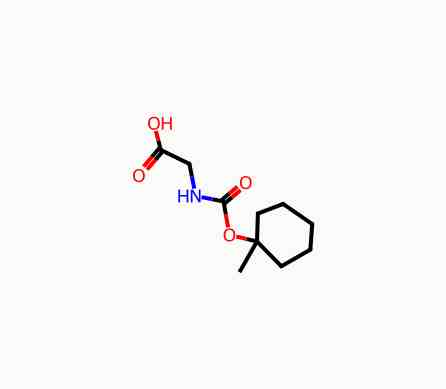 CC1(OC(=O)NCC(=O)O)CCCCC1